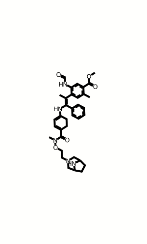 COC(=O)c1cc(NC=O)c(/C(C)=C(/NC2=CC=C(C(=O)N(C)OCCN3CC4CCC(C3)N4)CC2)c2ccccc2)cc1C